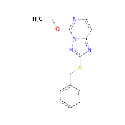 CCOc1nccc2nc(SCc3ccccc3)nn12